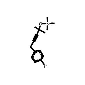 CC(C)(C#CCc1ccc(Cl)cc1)O[Si](C)(C)C